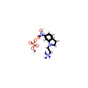 COS(=O)(=O)[O-].C[N+](C)(C)CCN1CCc2ccc([N+](=O)[O-])cc21